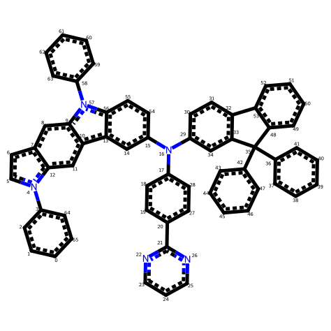 c1ccc(-n2ccc3cc4c(cc32)c2cc(N(c3ccc(-c5ncccn5)cc3)c3ccc5c(c3)C(c3ccccc3)(c3ccccc3)c3ccccc3-5)ccc2n4-c2ccccc2)cc1